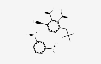 CC(C)(C)Cc1ccc(C#N)c(C(N)=S)c1C(N)=S.O=[N+]([O-])c1cccc([N+](=O)[O-])c1